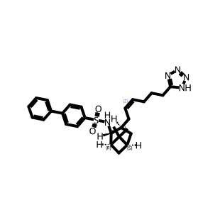 CC1(C)[C@H]2C[C@H](C/C=C\CCCc3nnn[nH]3)[C@@H](NS(=O)(=O)c3ccc(-c4ccccc4)cc3)[C@@H]1C2